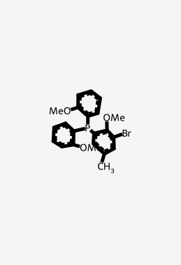 COc1ccccc1P(c1ccccc1OC)c1cc(C)cc(Br)c1OC